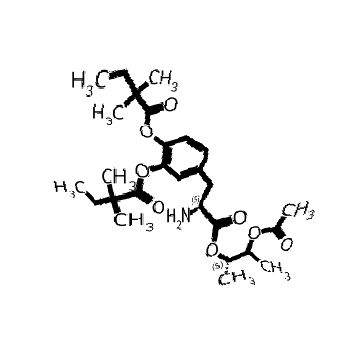 CCC(C)(C)C(=O)Oc1ccc(C[C@H](N)C(=O)O[C@@H](C)C(C)OC(C)=O)cc1OC(=O)C(C)(C)CC